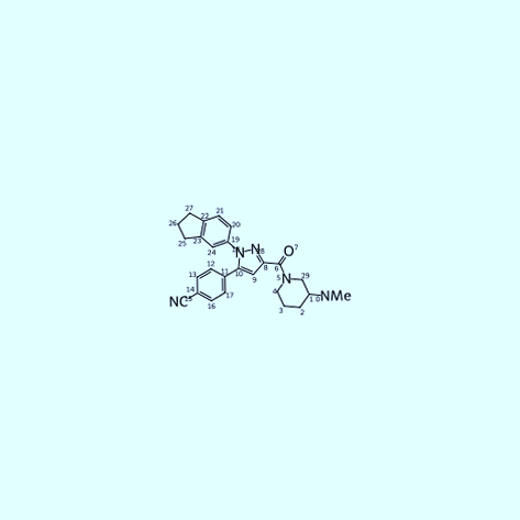 CNC1CCCN(C(=O)c2cc(-c3ccc(C#N)cc3)n(-c3ccc4c(c3)CCC4)n2)C1